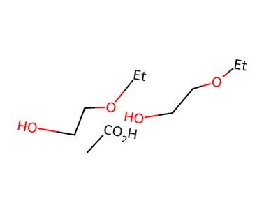 CC(=O)O.CCOCCO.CCOCCO